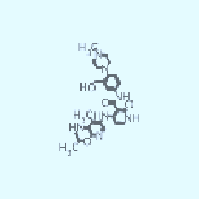 Cc1c(Nc2cc[nH]c(=O)c2C(=O)Nc2ccc(N3CCN(C)CC3)c(CO)c2)cnc2c1NCC(C)O2